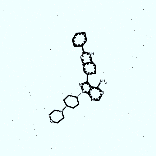 Nc1ncnc2c1c(-c1ccc3[nH]c(-c4ccccc4)nc3c1)nn2[C@H]1CC[C@H](N2CCOCC2)CC1